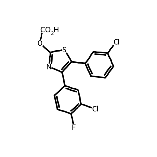 O=C(O)Oc1nc(-c2ccc(F)c(Cl)c2)c(-c2cccc(Cl)c2)s1